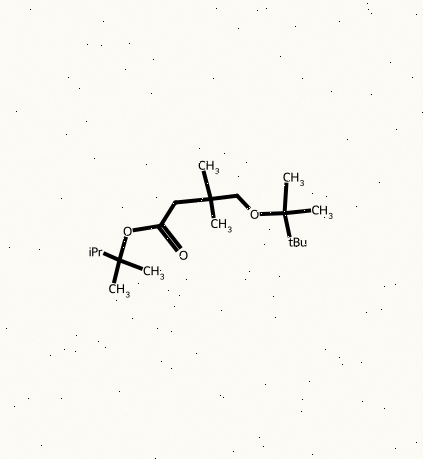 CC(C)C(C)(C)OC(=O)CC(C)(C)COC(C)(C)C(C)(C)C